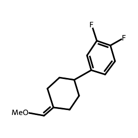 COC=C1CCC(c2ccc(F)c(F)c2)CC1